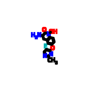 Cc1ncc(F)c(Oc2ccc3c(c2)CC(N)C(=O)N3O)n1